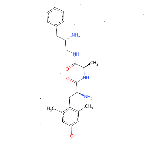 Cc1cc(O)cc(C)c1C[C@H](N)C(=O)N[C@H](C)C(=O)NC[C@@H](N)Cc1ccccc1